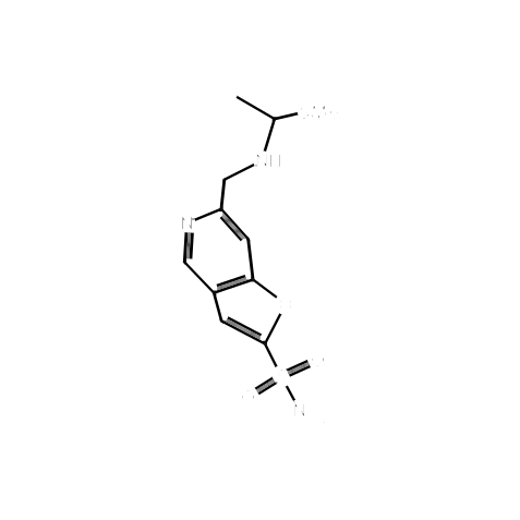 CSC(C)NCc1cc2oc(S(N)(=O)=O)cc2cn1